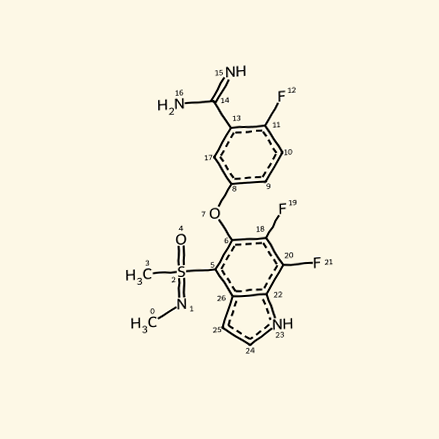 CN=S(C)(=O)c1c(Oc2ccc(F)c(C(=N)N)c2)c(F)c(F)c2[nH]ccc12